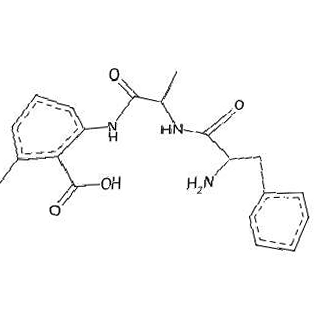 Cc1cccc(NC(=O)C(C)NC(=O)C(N)Cc2ccccc2)c1C(=O)O